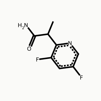 CC(C(N)=O)c1ncc(F)cc1F